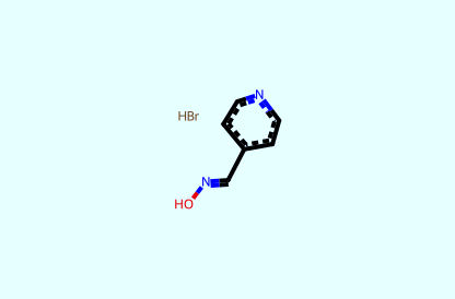 Br.ON=Cc1ccncc1